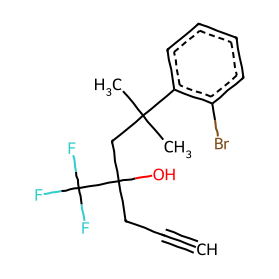 C#CCC(O)(CC(C)(C)c1ccccc1Br)C(F)(F)F